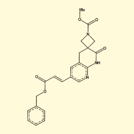 CC(C)(C)OC(=O)N1CC2(Cc3cc(C=CC(=O)OCc4ccccc4)cnc3NC2=O)C1